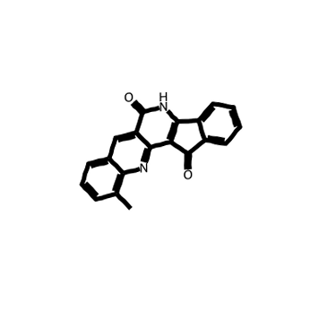 Cc1cccc2cc3c(=O)[nH]c4c(c3nc12)C(=O)c1ccccc1-4